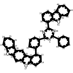 c1ccc(-c2nc(-c3cccc(-c4cccc5oc6cc7oc8ccccc8c7cc6c45)c3)nc(-c3cccc4c3oc3ccccc34)n2)cc1